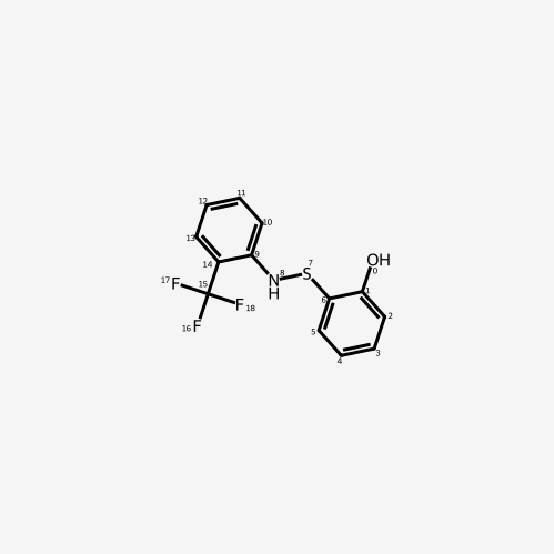 Oc1ccccc1SNc1ccccc1C(F)(F)F